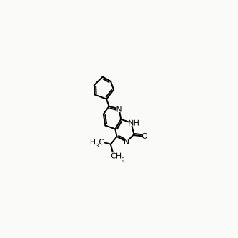 CC(C)c1nc(=O)[nH]c2nc(-c3ccccc3)ccc12